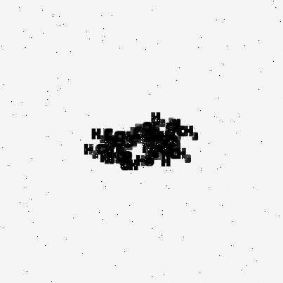 Cc1ncsc1-c1ccc([C@H](C)NC(=O)[C@@H]2C[C@@H](O)CN2C(=O)[C@@H](NC(=O)C(C)Oc2ccc(-c3ccc(C4=N[C@@H](CC(=O)O)c5nnc(C)n5-c5sc(C)c(C)c54)cc3)cc2)C(C)(C)C)cc1